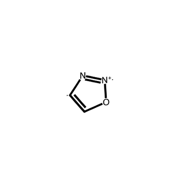 [C]1=CO[N+]=N1